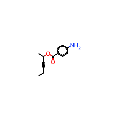 CCC#CC(C)OC(=O)c1ccc(N)cc1